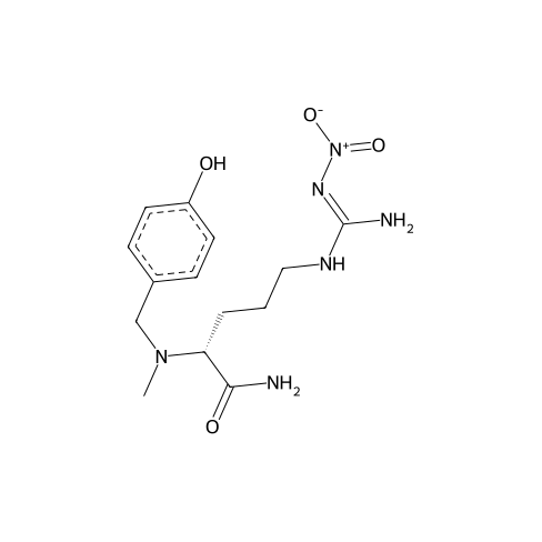 CN(Cc1ccc(O)cc1)[C@H](CCCNC(N)=N[N+](=O)[O-])C(N)=O